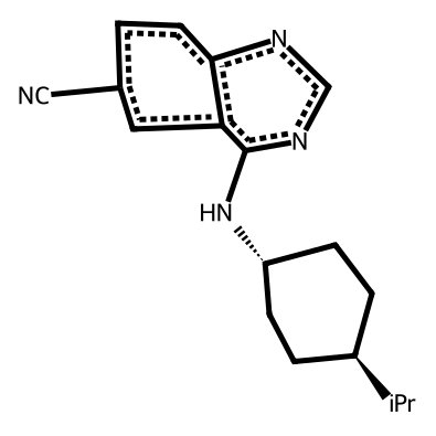 CC(C)[C@H]1CC[C@H](Nc2ncnc3ccc(C#N)cc23)CC1